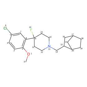 COc1ccc(Cl)cc1C1(F)CCN(CC2CC3CCC2C3)CC1